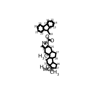 CC12Cc3cnn(C(=O)OCC4c5ccccc5-c5ccccc54)c3CC1CCC1C2CCC2(C)C1CC[C@]2(C)O